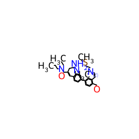 CCCN(CCC)C(=O)C1=Cc2ccc(-c3ccc(C=O)c(/C=C\N(C)CCSCC)c3)cc2N=C(N)C1